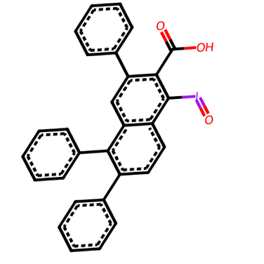 O=Ic1c(C(=O)O)c(-c2ccccc2)cc2c(-c3ccccc3)c(-c3ccccc3)ccc12